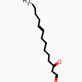 CCCCC=CCCCCCC(=O)CC=O